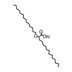 CCCCCCCCCCCCCCOC(CCCCCCCCCCCCC)C(=O)O